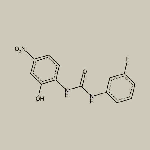 O=C(Nc1cccc(F)c1)Nc1ccc([N+](=O)[O-])cc1O